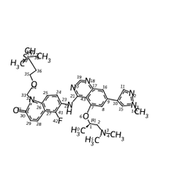 C[C@H](CN(C)C)Oc1cc(-c2cnn(C)c2)cc2ncnc(Nc3ccc4c(ccc(=O)n4COCC[Si](C)(C)C)c3F)c12